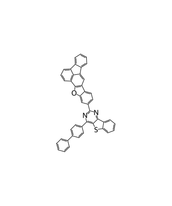 c1ccc(-c2ccc(-c3nc(-c4ccc5c(c4)oc4c6cccc7c6c(cc54)-c4ccccc4-7)nc4c3sc3ccccc34)cc2)cc1